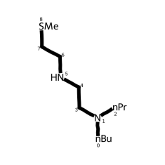 CCCCN(CCC)CCNCCSC